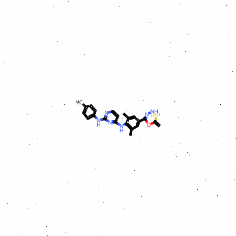 C=C(S)O/C(=N\N)c1cc(C)c(Nc2ccnc(Nc3ccc(C#N)cc3)n2)c(C)c1